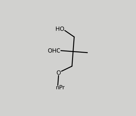 CCCOCC(C)(C=O)CO